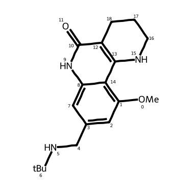 COc1cc(CNC(C)(C)C)cc2[nH]c(=O)c3c(c12)NCCC3